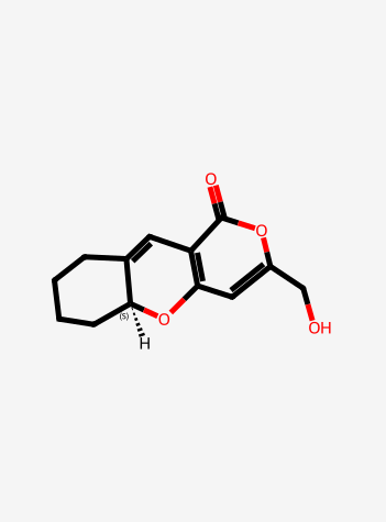 O=c1oc(CO)cc2c1C=C1CCCC[C@@H]1O2